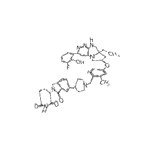 CC[C@]12CNc3nnc(-c4cccc(F)c4O)cc3N1C[C@H](Oc1cnc(CN3CCC(c4ccc5c(c4)C(=O)N([C@H]4CCC(=O)NC4=O)C5)CC3)c(C)c1)C2